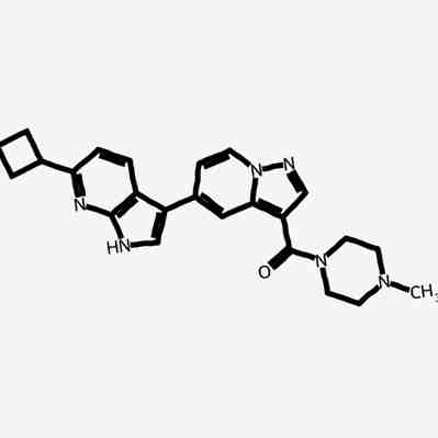 CN1CCN(C(=O)c2cnn3ccc(-c4c[nH]c5nc(C6CCC6)ccc45)cc23)CC1